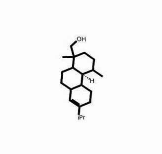 CC(C)C1=CC2CCC3[C@@H](C(C)CCC3(C)CO)C2CC1